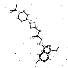 CCn1nc(NCC(=O)NC2CN([C@H]3CC[C@@H](C(C)=O)CC3)C2)c2cc(C)ccc21